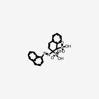 O=S(=O)(O)C1(N=Nc2cccc3ccccc23)C=Cc2ccccc2C1(O)S(=O)(=O)O